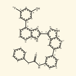 O=C(Cc1ccccc1)Nc1cncc(-c2cnc3[nH]nc(-c4nc5c(-c6cc(O)cc(F)c6)ccnc5[nH]4)c3c2)c1